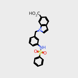 O=C(O)c1ccc2ccn(Cc3cccc(NS(=O)(=O)c4ccccc4)c3)c2c1